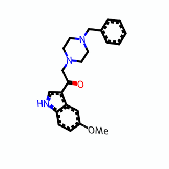 COc1ccc2[nH]cc(C(=O)CN3CCN(Cc4ccccc4)CC3)c2c1